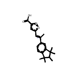 C/C(=C\c1cc(C(=O)O)no1)c1ccc2c(c1)C(C)(C)C(C)C2(C)C